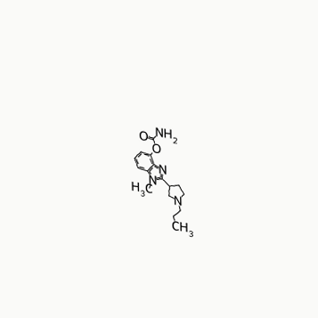 CCCN1CCC(c2nc3c(OC(N)=O)cccc3n2C)C1